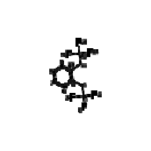 FC(F)(F)Cc1[c]cccc1CC(F)(F)F